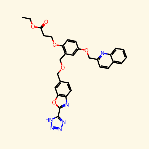 CCOC(=O)CCOc1ccc(OCc2ccc3ccccc3n2)cc1COCc1ccc2nc(-c3nnn[nH]3)oc2c1